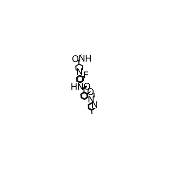 CNC(=O)C1CCN(c2ccc(NC(=O)c3cccc4c3OCCN4c3ccc(C)cn3)cc2F)CC1